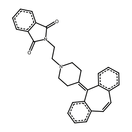 O=C1c2ccccc2C(=O)N1CCN1CCC(=C2c3ccccc3C=Cc3ccccc32)CC1